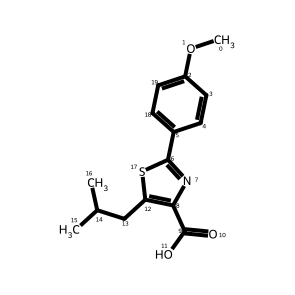 COc1ccc(-c2nc(C(=O)O)c(CC(C)C)s2)cc1